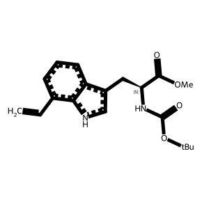 C=Cc1cccc2c(C[C@H](NC(=O)OC(C)(C)C)C(=O)OC)c[nH]c12